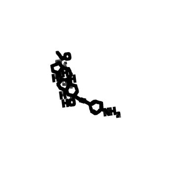 CC(=O)[C@H]1CC[C@H]2[C@@H]3CC[C@@H]4C[C@@](O)(C#Cc5ccc(N)cc5)CC[C@]4(C)[C@H]3CC[C@]12C